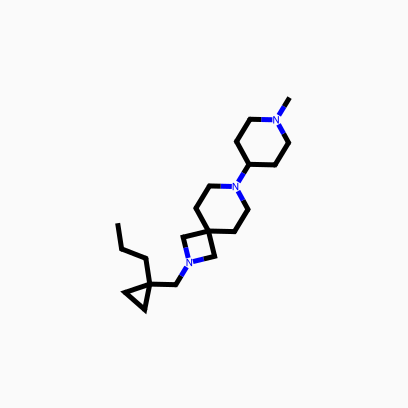 CCCC1(CN2CC3(CCN(C4CCN(C)CC4)CC3)C2)CC1